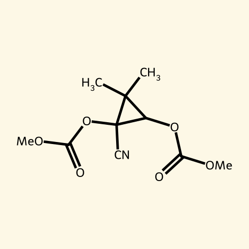 COC(=O)OC1C(C)(C)C1(C#N)OC(=O)OC